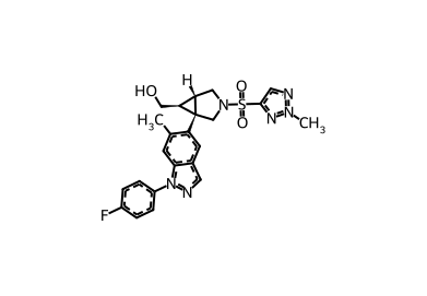 Cc1cc2c(cnn2-c2ccc(F)cc2)cc1[C@]12CN(S(=O)(=O)c3cnn(C)n3)C[C@H]1[C@@H]2CO